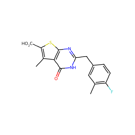 Cc1cc(Cc2nc3sc(C(=O)O)c(C)c3c(=O)[nH]2)ccc1F